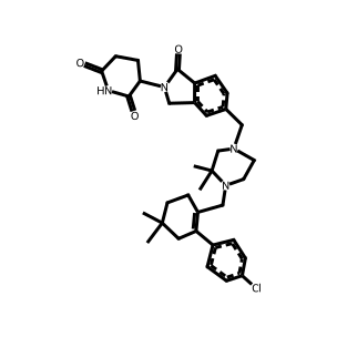 CC1(C)CCC(CN2CCN(Cc3ccc4c(c3)CN(C3CCC(=O)NC3=O)C4=O)CC2(C)C)=C(c2ccc(Cl)cc2)C1